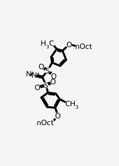 CCCCCCCCOc1ccc(S(=O)(=O)C(=[N+]=[N-])S(=O)(=O)c2ccc(OCCCCCCCC)c(C)c2)cc1C